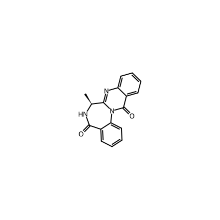 C[C@@H]1NC(=O)c2ccccc2-n2c1nc1ccccc1c2=O